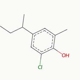 CCC(C)c1cc(C)c(O)c(Cl)c1